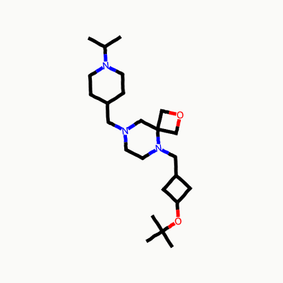 CC(C)N1CCC(CN2CCN(CC3CC(OC(C)(C)C)C3)C3(COC3)C2)CC1